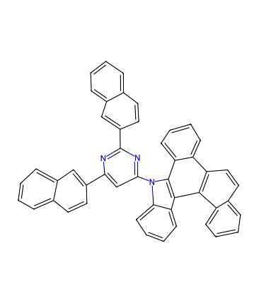 c1ccc2cc(-c3cc(-n4c5ccccc5c5c6c7ccccc7ccc6c6ccccc6c54)nc(-c4ccc5ccccc5c4)n3)ccc2c1